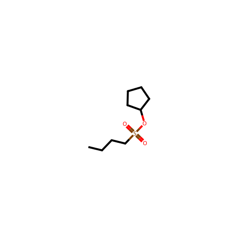 CCCCS(=O)(=O)OC1CCCC1